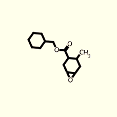 CC1CC2OC2CC1C(=O)OCC1CCCCC1